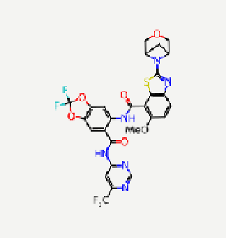 COc1ccc2nc(N3C4COCC3C4)sc2c1C(=O)Nc1cc2c(cc1C(=O)Nc1cc(C(F)(F)F)ncn1)OC(F)(F)O2